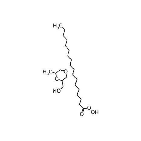 CC1COCC(CO)O1.CCCCCCCCCCCCCCCCCC(=O)OO